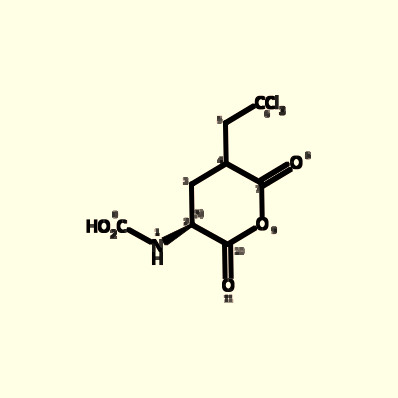 O=C(O)N[C@H]1CC(CC(Cl)(Cl)Cl)C(=O)OC1=O